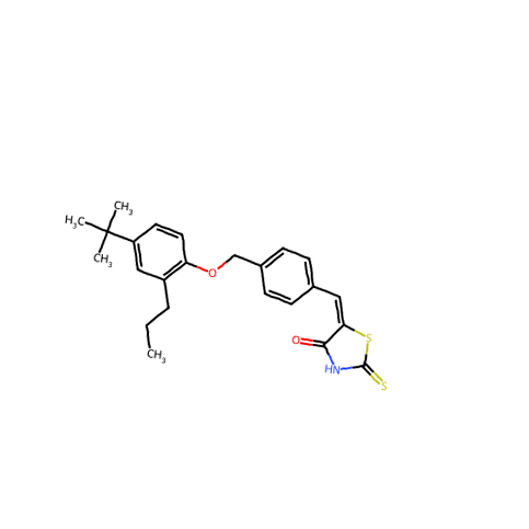 CCCc1cc(C(C)(C)C)ccc1OCc1ccc(C=C2SC(=S)NC2=O)cc1